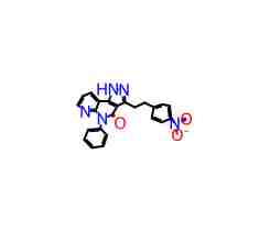 O=c1c2c(CCc3ccc([N+](=O)[O-])cc3)n[nH]c2c2cccnc2n1-c1ccccc1